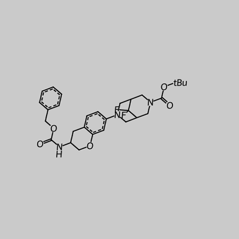 CC(C)(C)OC(=O)N1CC2CN(c3ccc4c(c3)OCC(NC(=O)OCc3ccccc3)C4)CC(C1)C2(F)F